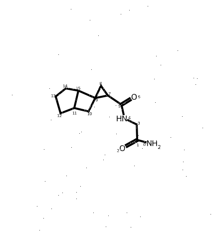 NC(=O)CNC(=O)C1CC12CC1CCCC12